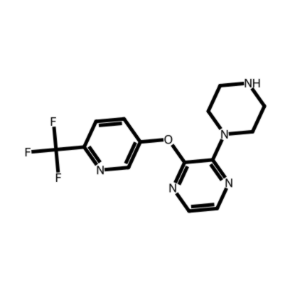 FC(F)(F)c1ccc(Oc2nccnc2N2CCNCC2)cn1